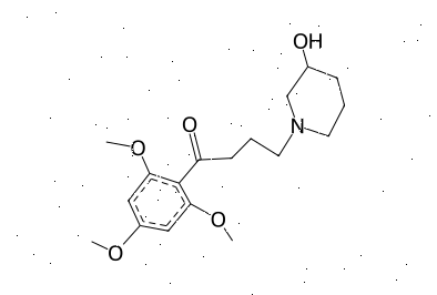 COc1cc(OC)c(C(=O)CCCN2CCCC(O)C2)c(OC)c1